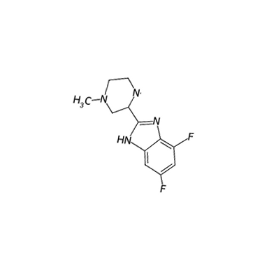 CN1CC[N]C(c2nc3c(F)cc(F)cc3[nH]2)C1